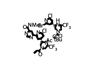 C=CC(=O)N1C[C@H](c2cc(Cl)nc(-c3cc(C(=O)NC)ncn3)c2)N(C(C)=O)[C@@H](C(F)(F)F)C1.CC(C)(C)OC(=O)N1C[C@H](c2cc(Cl)nc(Br)c2)N[C@@H](C(F)(F)F)C1